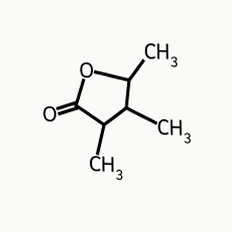 CC1OC(=O)C(C)C1C